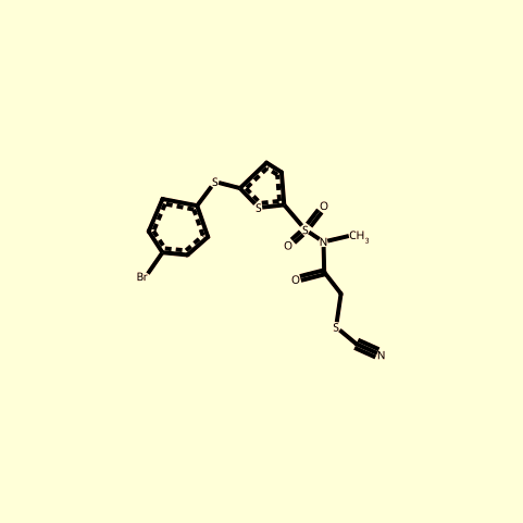 CN(C(=O)CSC#N)S(=O)(=O)c1ccc(Sc2ccc(Br)cc2)s1